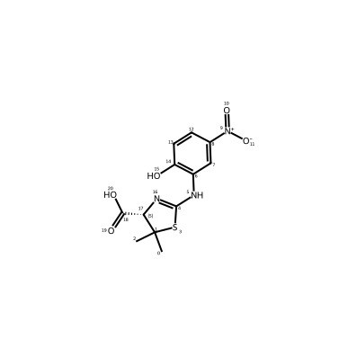 CC1(C)SC(Nc2cc([N+](=O)[O-])ccc2O)=N[C@H]1C(=O)O